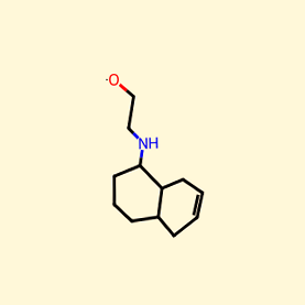 [O]CCNC1CCCC2CC=CCC21